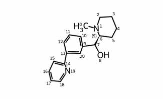 CN1CCCC[C@H]1C(O)c1cccc(-c2ccccn2)c1